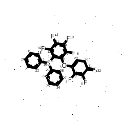 FC1=C(F)C(Oc2c(F)c(F)c(F)c(F)c2[S+](c2ccccc2)c2ccccc2)=CCC1=S